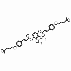 O=C(/C=C/c1ccc(OCCCC2CO2)cc1)Oc1ccc(OC(=O)/C=C/c2ccc(OCCCC3CO3)cc2)c(C(F)(F)F)c1C(F)(F)F